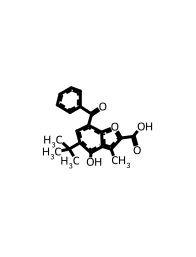 Cc1c(C(=O)O)oc2c(C(=O)c3ccccc3)cc(C(C)(C)C)c(O)c12